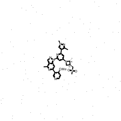 COc1ccncc1-c1cc2c(cnn2-c2cc(N3C[C@H](CS(C)(=O)=O)[C@H]3C)cc(-c3cn(C)nc3C)n2)c(C)n1